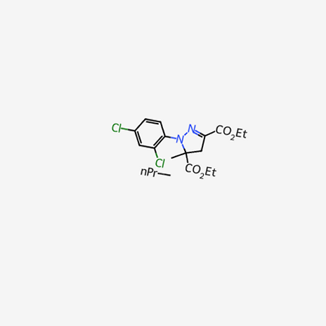 CCCC.CCOC(=O)C1=NN(c2ccc(Cl)cc2Cl)C(C)(C(=O)OCC)C1